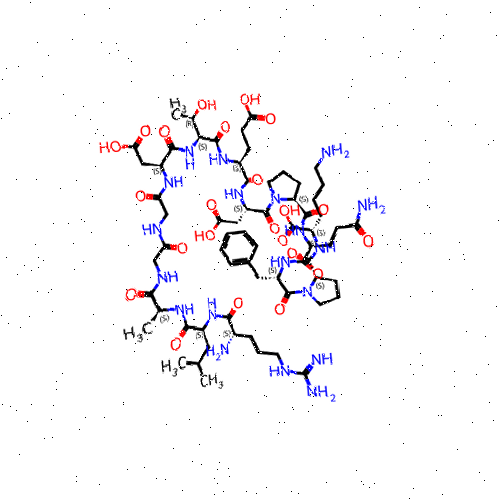 CC(C)C[C@H](NC(=O)[C@@H](N)CCCNC(=N)N)C(=O)N[C@@H](C)C(=O)NCC(=O)NCC(=O)N[C@@H](CC(=O)O)C(=O)N[C@H](C(=O)N[C@@H](CCC(=O)O)C(=O)N[C@@H](CC(=O)O)C(=O)N1CCC[C@H]1C(=O)N[C@@H](CCC(N)=O)C(=O)N[C@@H](Cc1ccccc1)C(=O)N1CCC[C@H]1C(=O)N[C@@H](CCCCN)C(=O)O)[C@@H](C)O